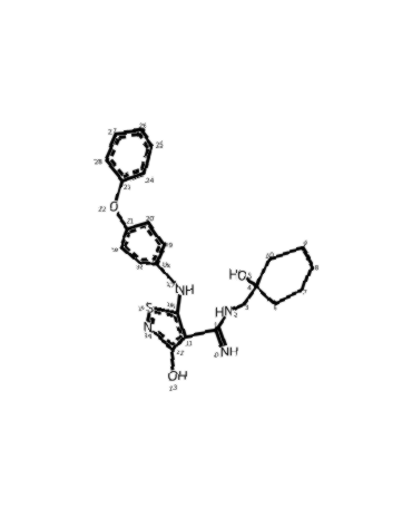 N=C(NCC1(O)CCCCC1)c1c(O)nsc1Nc1ccc(Oc2ccccc2)cc1